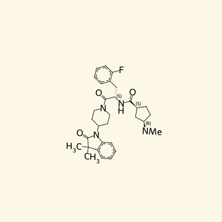 CN[C@@H]1CC[C@H](C(=O)N[C@@H](Cc2ccccc2F)C(=O)N2CCC(N3C(=O)C(C)(C)c4ccccc43)CC2)C1